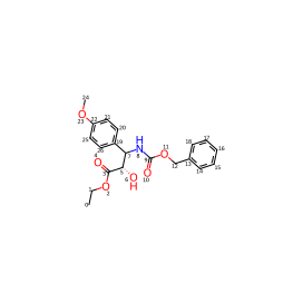 CCOC(=O)[C@@H](O)C(NC(=O)OCc1ccccc1)c1ccc(OC)cc1